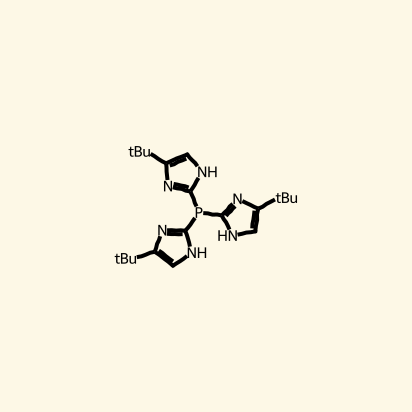 CC(C)(C)c1c[nH]c(P(c2nc(C(C)(C)C)c[nH]2)c2nc(C(C)(C)C)c[nH]2)n1